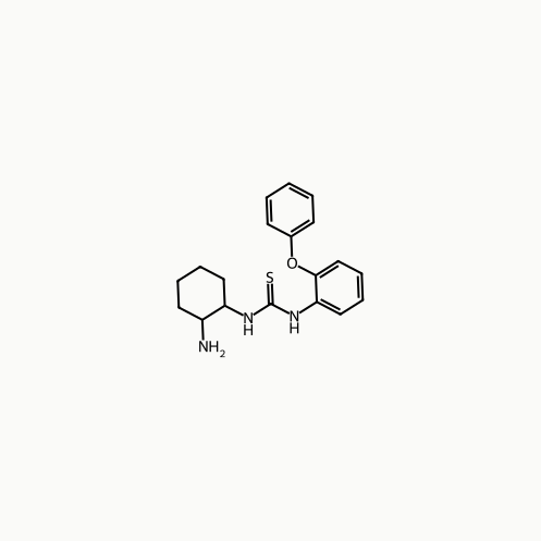 NC1CCCCC1NC(=S)Nc1ccccc1Oc1ccccc1